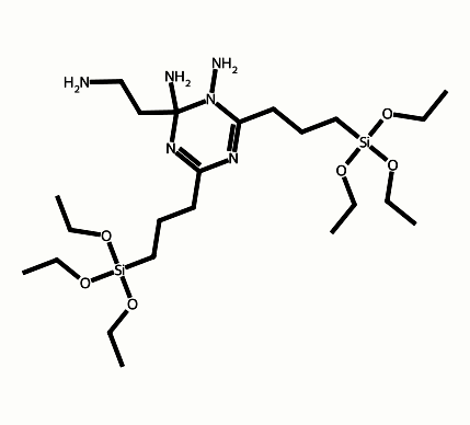 CCO[Si](CCCC1=NC(N)(CCN)N(N)C(CCC[Si](OCC)(OCC)OCC)=N1)(OCC)OCC